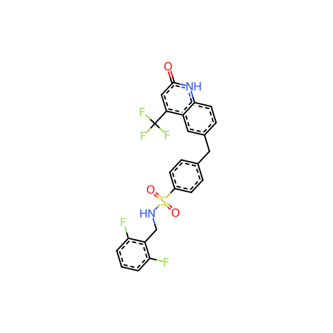 O=c1cc(C(F)(F)F)c2cc(Cc3ccc(S(=O)(=O)NCc4c(F)cccc4F)cc3)ccc2[nH]1